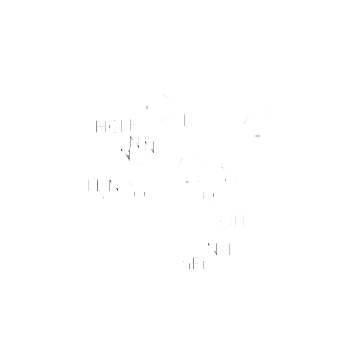 CCCNCC(O)COc1ccccc1C(=O)CCc1ccccc1.Cl.NC(=O)c1cn(Cc2c(F)cccc2F)nn1